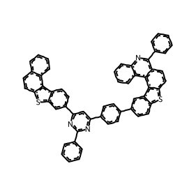 c1ccc(-c2nc(-c3ccc(-c4ccc5sc6ccc7c(-c8ccccc8)nc8ccccc8c7c6c5c4)cc3)cc(-c3ccc4c(c3)sc3ccc5ccccc5c34)n2)cc1